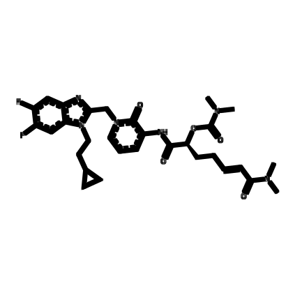 CN(C)C(=O)/C=C/CC[C@H](OC(=O)N(C)C)C(=O)Nc1cccn(Cc2nc3cc(F)c(F)cc3n2CCC2CC2)c1=O